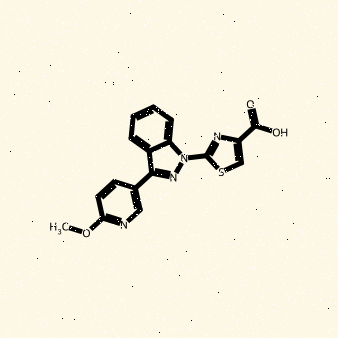 COc1ccc(-c2nn(-c3nc(C(=O)O)cs3)c3ccccc23)cn1